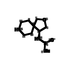 CC(C)(C)[S+]([O-])N[C@@H]1COCC12CCNCC2